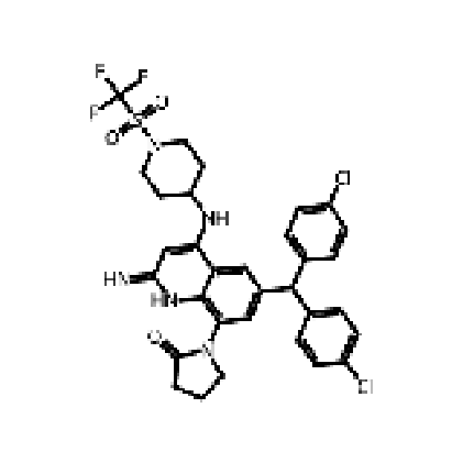 N=c1cc(NC2CCN(S(=O)(=O)C(F)(F)F)CC2)c2cc(C(c3ccc(Cl)cc3)c3ccc(Cl)cc3)cc(N3CCCC3=O)c2[nH]1